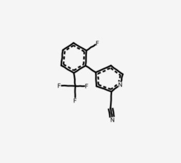 N#Cc1cc(-c2c(F)cccc2C(F)(F)F)ccn1